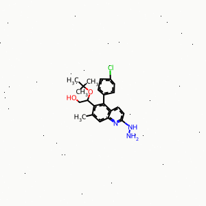 Cc1cc2nc(NN)ccc2c(-c2ccc(Cl)cc2)c1C(CO)OC(C)(C)C